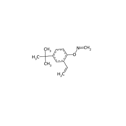 C=Cc1cc(C(C)(C)C)ccc1ON=C